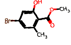 COC(=O)c1c(C)cc(Br)cc1O